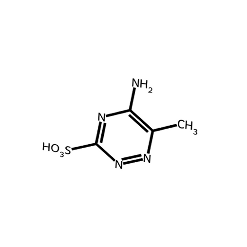 Cc1nnc(S(=O)(=O)O)nc1N